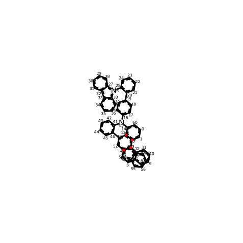 c1cc(-c2cccc3ccccc23)cc(N(c2ccc(-c3ccccc3-n3c4ccccc4c4ccccc43)cc2)c2ccccc2-c2ccc3c(c2)oc2ccccc23)c1